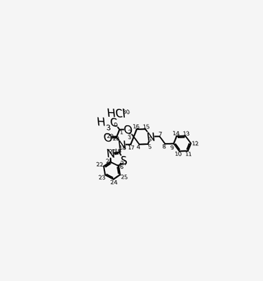 CC1OC2(CCN(CCc3ccccc3)CC2)CN(c2nc3ccccc3s2)C1=O.Cl